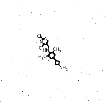 Cc1cc(C2CC(N)C2)cc(C)c1NCc1cnc(Cl)nc1Cl